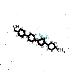 CCc1ccc(-c2ccc(-c3ccc(C4CCC(C)CC4)c(F)c3F)cc2)cc1